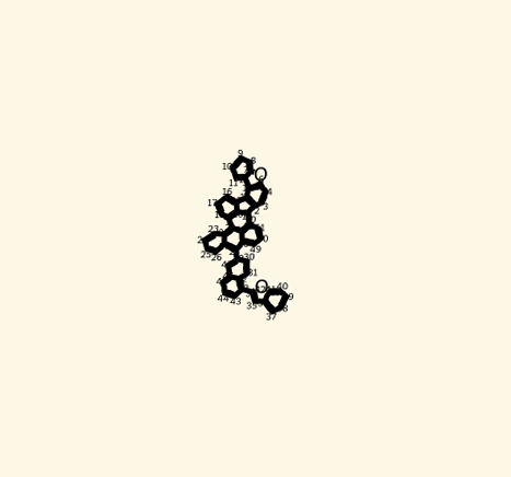 CC12c3ccc4oc5ccccc5c4c3-c3cccc(c31)-c1c3ccccc3c(-c3ccc4c(-c5cc6ccccc6o5)cccc4c3)c3cccc2c13